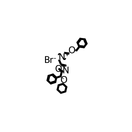 C[N+](C)(CCOCc1ccccc1)Cc1cnc([C@H](OC2CCCCC2)c2ccccc2)o1.[Br-]